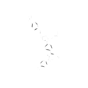 CCS(=O)(=O)c1ccc([C@H](CC#N)NC(=O)c2ccc(N3C[C@@H](OCc4ccc(OC(F)(F)F)cc4)C[C@H]3COC(F)F)cc2)cc1